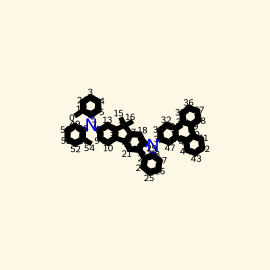 Cc1ccccc1N(c1ccc2c(c1)C(C)(C)c1cc3c(cc1-2)c1ccccc1n3-c1ccc2c3ccccc3c3ccccc3c2c1)c1ccccc1C